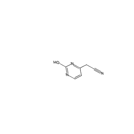 N#CCc1ccnc(O)n1